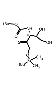 CC(C)(C)OC(=O)N[C@@H](C(=S)CO[Si](C)(C)C(C)(C)C)C(O)CO